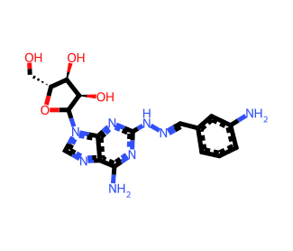 Nc1cccc(/C=N/Nc2nc(N)c3ncn(C4O[C@H](CO)[C@@H](O)[C@H]4O)c3n2)c1